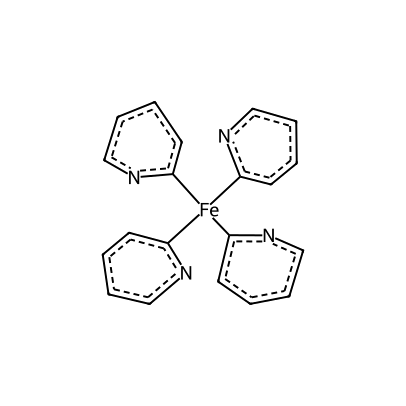 c1cc[c]([Fe]([c]2ccccn2)([c]2ccccn2)[c]2ccccn2)nc1